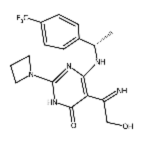 C[C@H](Nc1nc(N2CCC2)[nH]c(=O)c1C(=N)CO)c1ccc(C(F)(F)F)cc1